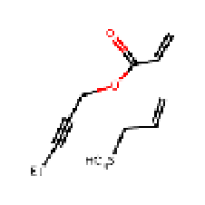 C=CC(=O)OCC#CCC.C=CCS(=O)(=O)O